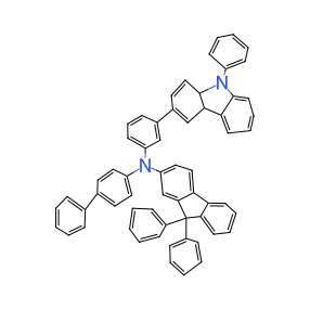 C1=CC2C(C=C1c1cccc(N(c3ccc(-c4ccccc4)cc3)c3ccc4c(c3)C(c3ccccc3)(c3ccccc3)c3ccccc3-4)c1)c1ccccc1N2c1ccccc1